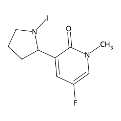 Cn1cc(F)cc(C2CCCN2I)c1=O